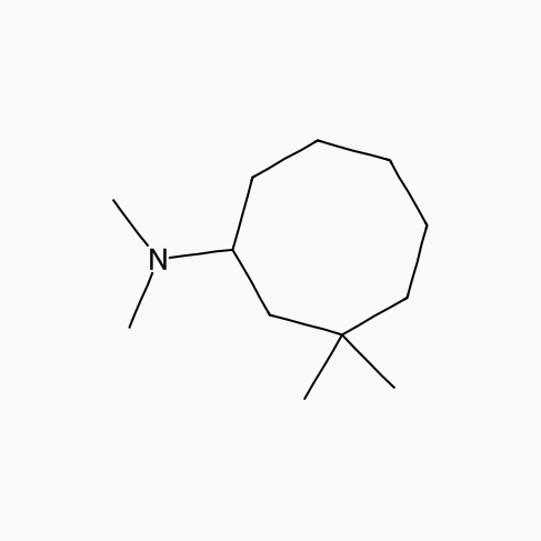 CN(C)C1CCCCCC(C)(C)C1